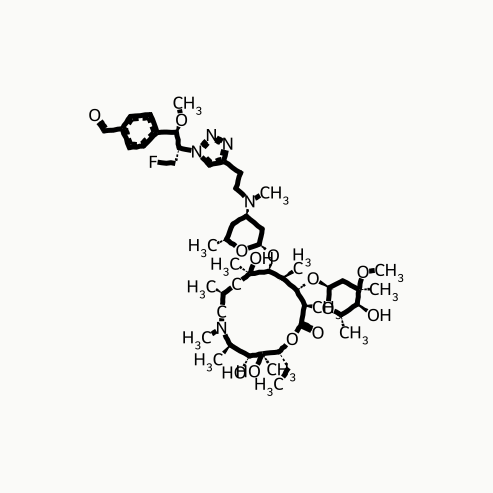 CC[C@H]1OC(=O)[C@H](C)[C@@H](O[C@H]2C[C@@](C)(OC)[C@@H](O)[C@H](C)O2)[C@H](C)[C@@H](O[C@H]2C[C@@H](N(C)CCc3cn([C@H](CF)[C@H](OC)c4ccc(C=O)cc4)nn3)C[C@@H](C)O2)[C@](C)(O)C[C@@H](C)CN(C)[C@H](C)[C@@H](O)[C@]1(C)O